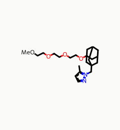 COCCOCCOCCOC12CC3CC(CC(Cn4nccc4C)(C3)C1)C2